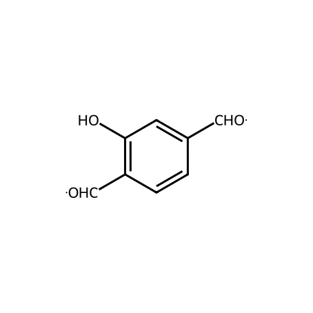 O=[C]c1ccc([C]=O)c(O)c1